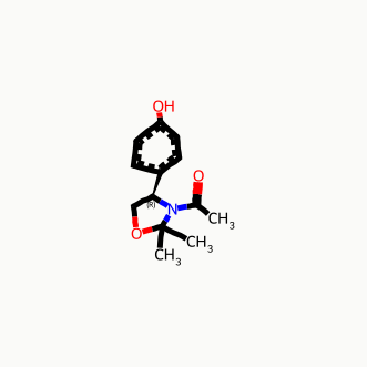 CC(=O)N1[C@H](c2ccc(O)cc2)COC1(C)C